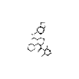 Cc1cccc(C)c1C(=O)N1CCCC(C(C)Nc2ccc3c(c2)CCC3)C1C1CCCCC1